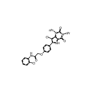 CCCn1c(=O)c2[nH]c(-c3ccc(OCC(=O)Nc4ccccc4Cl)cc3)c(Cl)c2n(CCC)c1=O